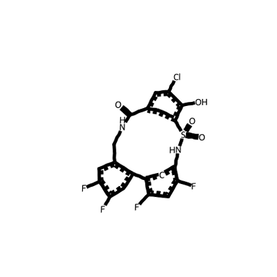 O=C1NCc2cc(F)c(F)cc2-c2cc(c(F)cc2F)NS(=O)(=O)c2cc1cc(Cl)c2O